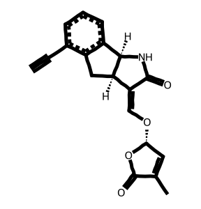 C#Cc1cccc2c1C[C@@H]1C(=CO[C@@H]3C=C(C)C(=O)O3)C(=O)N[C@H]21